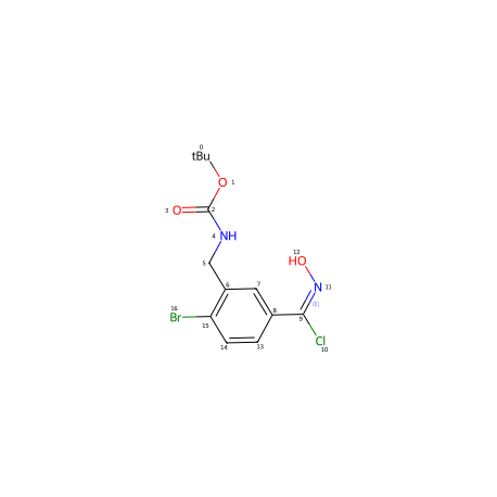 CC(C)(C)OC(=O)NCc1cc(/C(Cl)=N\O)ccc1Br